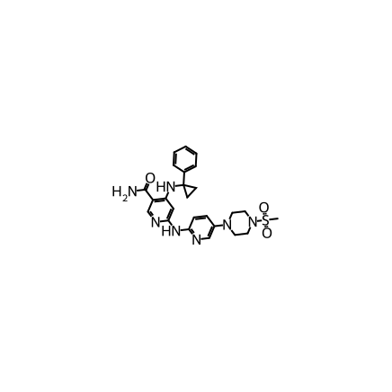 CS(=O)(=O)N1CCN(c2ccc(Nc3cc(NC4(c5ccccc5)CC4)c(C(N)=O)cn3)nc2)CC1